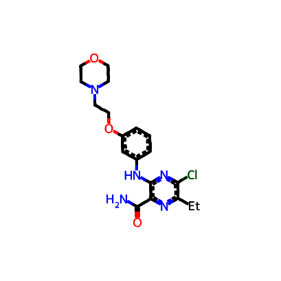 CCc1nc(C(N)=O)c(Nc2cccc(OCCN3CCOCC3)c2)nc1Cl